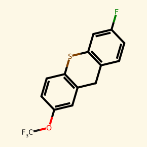 Fc1ccc2c(c1)Sc1ccc(OC(F)(F)F)cc1C2